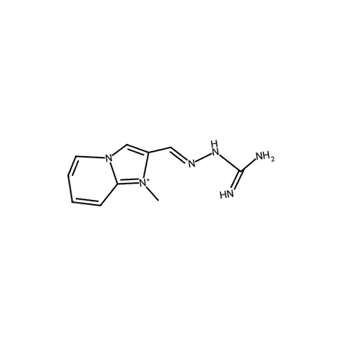 C[n+]1c(C=NNC(=N)N)cn2ccccc21